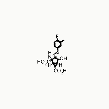 Cc1cc(SC[C@@H]2[C@@H](O)[C@H]3[C@H](C(=O)O)[C@H]3[C@]2(N)C(=O)O)ccc1F